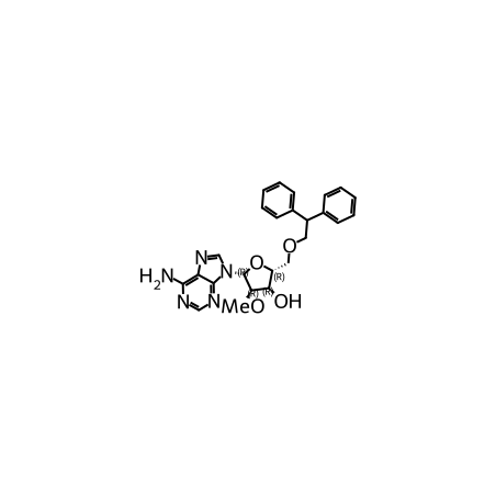 CO[C@@H]1[C@H](O)[C@@H](COCC(c2ccccc2)c2ccccc2)O[C@H]1n1cnc2c(N)ncnc21